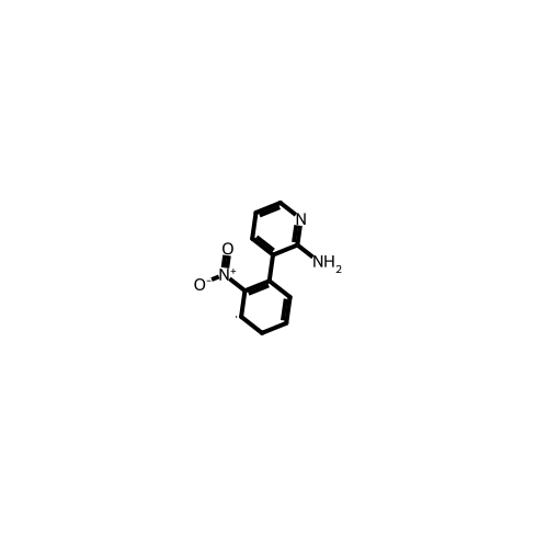 Nc1ncccc1C1=C([N+](=O)[O-])[CH]CC=C1